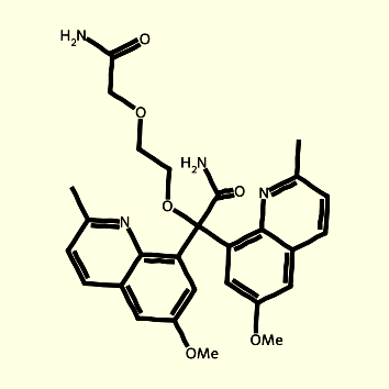 COc1cc(C(OCCOCC(N)=O)(C(N)=O)c2cc(OC)cc3ccc(C)nc23)c2nc(C)ccc2c1